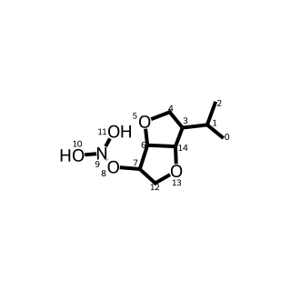 CC(C)C1COC2C(ON(O)O)COC12